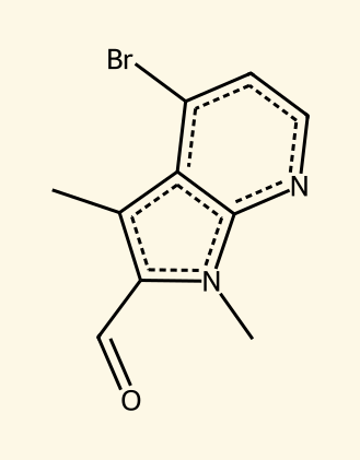 Cc1c(C=O)n(C)c2nccc(Br)c12